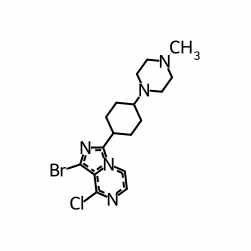 CN1CCN(C2CCC(c3nc(Br)c4c(Cl)nccn34)CC2)CC1